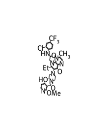 CCc1c(N2CCN(C(=O)c3c(O)ccnc3OC)CC2)c(=O)c2ncc(C)nc2n1CC(=O)Nc1ccc(C(F)(F)F)cc1Cl